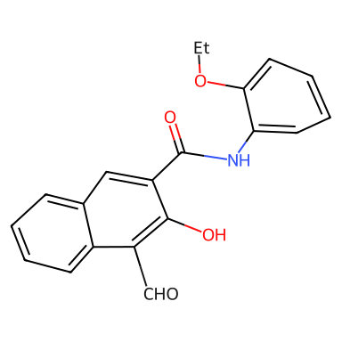 CCOc1ccccc1NC(=O)c1cc2ccccc2c(C=O)c1O